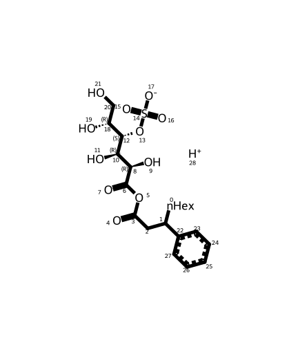 CCCCCCC(CC(=O)OC(=O)[C@H](O)[C@@H](O)[C@@H](OS(=O)(=O)[O-])[C@H](O)CO)c1ccccc1.[H+]